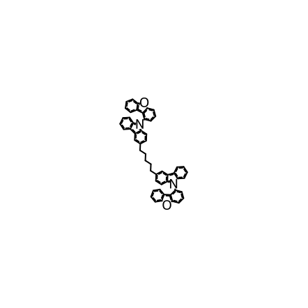 c1ccc2c(c1)oc1cccc(-n3c4ccccc4c4cc(CCCCCc5ccc6c(c5)c5ccccc5n6-c5cccc6oc7ccccc7c56)ccc43)c12